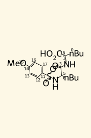 CCCCC(NC(=O)C(CCCC)NS(=O)(=O)c1ccc(OC)cc1)C(=O)O